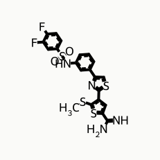 CSc1sc(C(=N)N)cc1-c1nc(-c2cccc(NS(=O)(=O)c3ccc(F)c(F)c3)c2)cs1